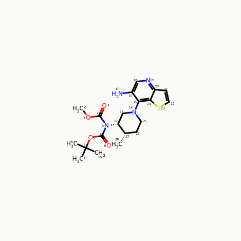 COC(=O)N(C(=O)OC(C)(C)C)[C@@H]1CN(c2c(N)cnc3ccsc23)CC[C@@H]1C